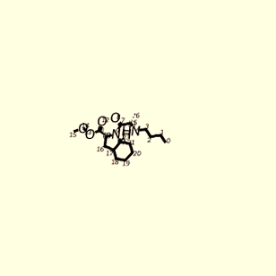 CCCCN[C@@H](C)C(=O)N1[C@H](C(=O)OOC)CC2CCCC[C@@H]21